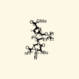 CCCC(=O)OCN(C(=O)C(N=[N+]=[N-])C(C)CC)[C@H](C[C@@H](O[Si](CC)(CC)CC)c1nc(C(=O)OC)cs1)C(C)C